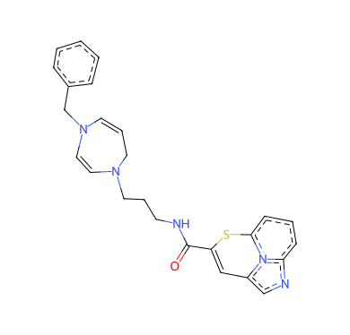 O=C(NCCCN1C=CN(Cc2ccccc2)C=CC1)C1=Cc2cnc3cccc(n23)S1